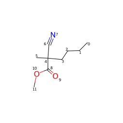 CCCCC(C)(C#N)C(=O)OC